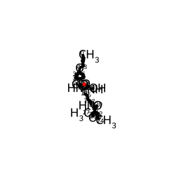 CC#CCOc1ccc(S(=O)(=O)N[C@H](CCCCNC(=O)c2cc(C)oc2C)C(=O)NO)cc1